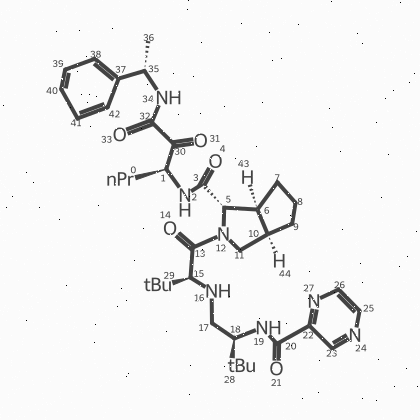 CCC[C@H](NC(=O)[C@@H]1[C@H]2CCC[C@H]2CN1C(=O)[C@@H](NC[C@@H](NC(=O)c1cnccn1)C(C)(C)C)C(C)(C)C)C(=O)C(=O)N[C@@H](C)c1ccccc1